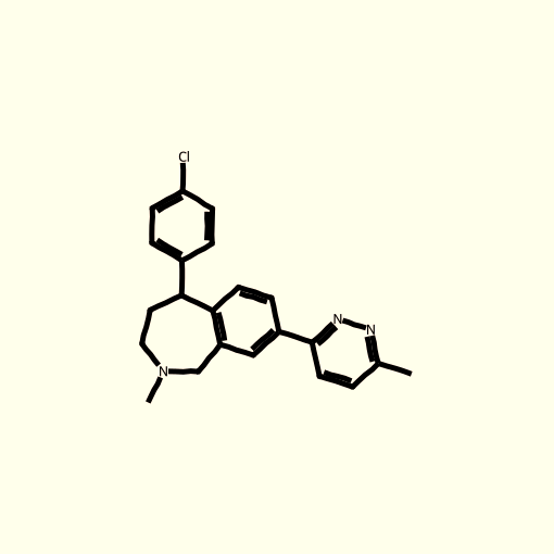 Cc1ccc(-c2ccc3c(c2)CN(C)CCC3c2ccc(Cl)cc2)nn1